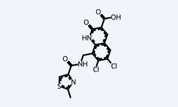 Cc1nc(C(=O)NCc2c(Cl)c(Cl)cc3cc(C(=O)O)c(=O)[nH]c23)cs1